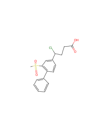 CS(=O)(=O)c1cc(C(Cl)CCC(=O)O)ccc1-c1ccccc1